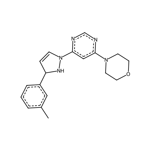 Cc1cccc(C2C=CN(c3cc(N4CCOCC4)ncn3)N2)c1